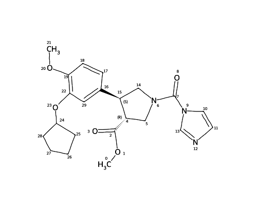 COC(=O)[C@H]1CN(C(=O)n2ccnc2)C[C@@H]1c1ccc(OC)c(OC2CCCC2)c1